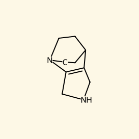 C1NCC2=C1C1CCN2CC1